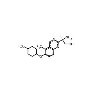 CC(C)(C)C1CCC(Oc2ccc3nc([C@@](C)(N)CO)ncc3c2C(F)(F)F)CC1